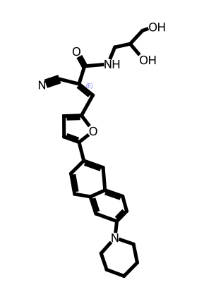 N#C/C(=C\c1ccc(-c2ccc3cc(N4CCCCC4)ccc3c2)o1)C(=O)NCC(O)CO